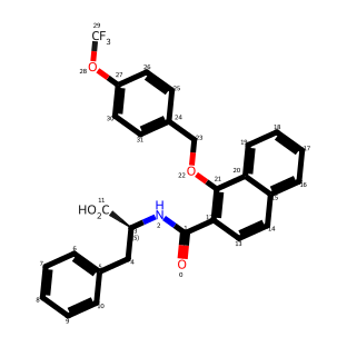 O=C(N[C@@H](Cc1ccccc1)C(=O)O)c1ccc2ccccc2c1OCc1ccc(OC(F)(F)F)cc1